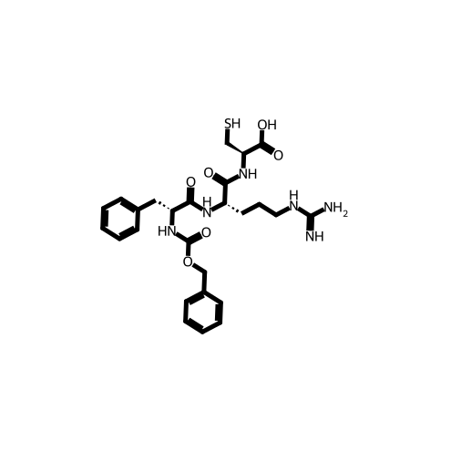 N=C(N)NCCC[C@H](NC(=O)[C@@H](Cc1ccccc1)NC(=O)OCc1ccccc1)C(=O)N[C@@H](CS)C(=O)O